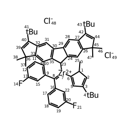 CC1C=C(C(C)(C)C)C=[C]1[Zr+2](=[C](c1cccc(F)c1)c1cccc(F)c1)[CH]1c2cc3c(cc2-c2cc4c(cc21)C(C)(C)C=C4C(C)(C)C)C(C(C)(C)C)=CC3(C)C.[Cl-].[Cl-]